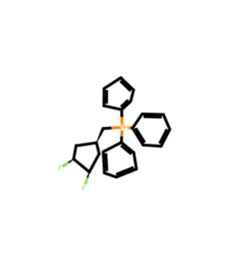 F[C@@H]1C[C@H](C[PH](c2ccccc2)(c2ccccc2)c2ccccc2)C[C@@H]1F